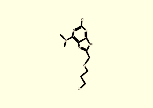 CN(C)c1nc(Cl)nc2[nH]c(COCCCCl)nc12